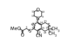 COC(=O)CSc1nc(N2CCOCC2)c2c(c1C#N)CC(C)(C)SC2